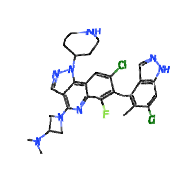 Cc1c(Cl)cc2[nH]ncc2c1-c1c(Cl)cc2c(nc(N3CC(N(C)C)C3)c3cnn(C4CCNCC4)c32)c1F